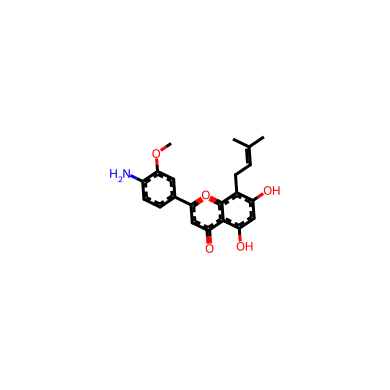 COc1cc(-c2cc(=O)c3c(O)cc(O)c(CC=C(C)C)c3o2)ccc1N